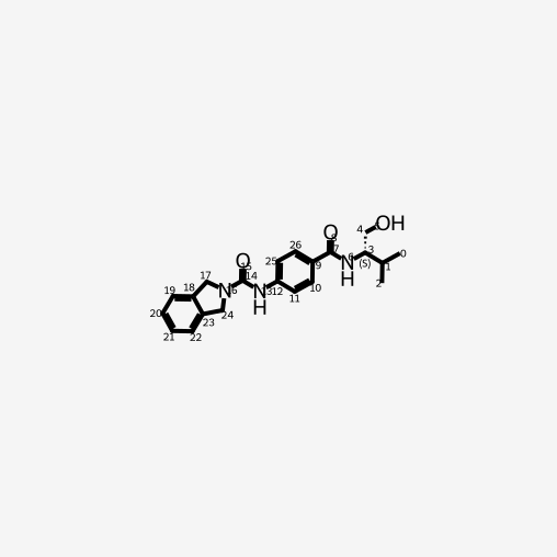 CC(C)[C@@H](CO)NC(=O)c1ccc(NC(=O)N2Cc3ccccc3C2)cc1